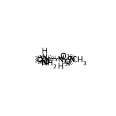 Cn1ccc2c(C(=O)NCCCCCC(=O)Nc3ccccc3N)cccc21